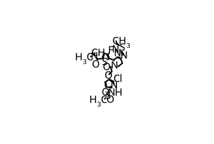 Cc1nn2c3c(nc2s1)CCN(C(=O)COc1ccc(NS(C)(=O)=O)nc1Cl)C3c1sc(C(=O)N(C)C)cc1F